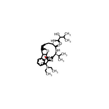 CCN(CC)C(=O)c1nc2oc1[C@@]13c4ccccc4NC1Oc1ccc(cc13)C[C@H](NC(=O)[C@@H](O)C(C)C)C(=O)N[C@H]2C(C)C